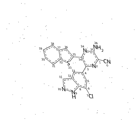 N#Cc1nc(-c2cc(Cl)c3[nH]ncc3c2)c(-c2cc3ccccc3s2)nc1N